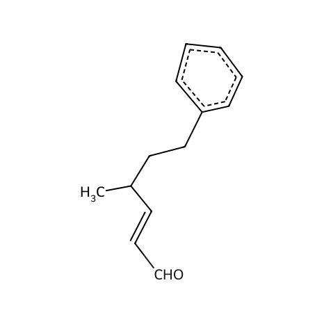 CC(C=CC=O)CCc1ccccc1